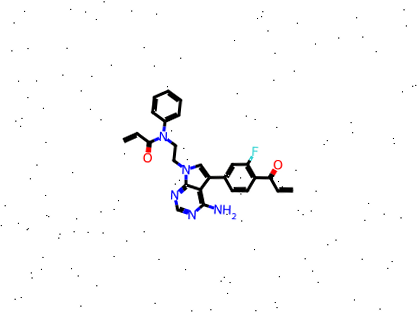 C=CC(=O)c1ccc(-c2cn(CCN(C(=O)C=C)c3ccccc3)c3ncnc(N)c23)cc1F